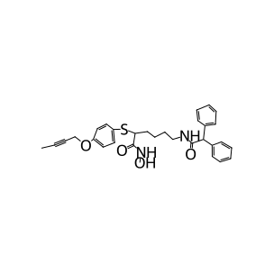 CC#CCOc1ccc(SC(CCCCNC(=O)C(c2ccccc2)c2ccccc2)C(=O)NO)cc1